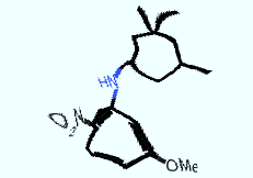 COc1ccc([N+](=O)[O-])c(NC2CC(C)CC(C)(C)C2)c1